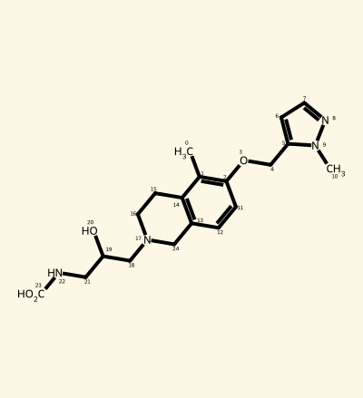 Cc1c(OCc2ccnn2C)ccc2c1CCN(CC(O)CNC(=O)O)C2